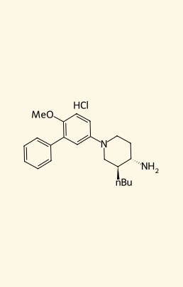 CCCC[C@H]1CN(c2ccc(OC)c(-c3ccccc3)c2)CC[C@@H]1N.Cl